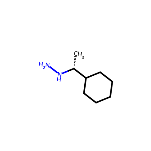 C[C@@H](NN)C1CCCCC1